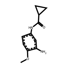 COc1ccc(NC(=O)C2CC2)cc1N